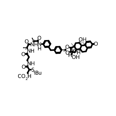 CCC(C)SC(CC(=O)O)C(=O)NCCC(=O)N[C@@H](C)C(=O)N[C@@H](C)C(=O)Nc1cccc(Cc2ccc([C@@H]3O[C@@H]4CC5[C@@H]6CCC7=CC(=O)C=C[C@]7(C)C6[C@@H](O)C[C@]5(C)[C@]4(C(=O)CO)O3)cc2)c1